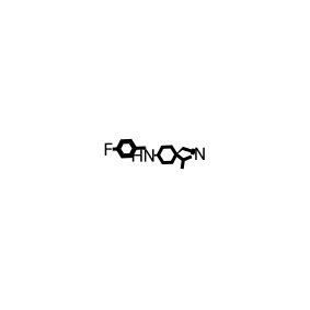 CC(C)[C@]1(CC#N)CC[C@@H](NCc2ccc(F)cc2)CC1